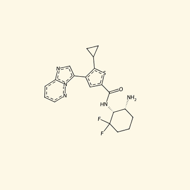 N[C@@H]1CCCC(F)(F)[C@@H]1NC(=O)c1cc(-c2cnc3cccnn23)c(C2CC2)s1